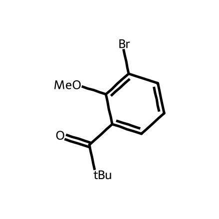 COc1c(Br)cccc1C(=O)C(C)(C)C